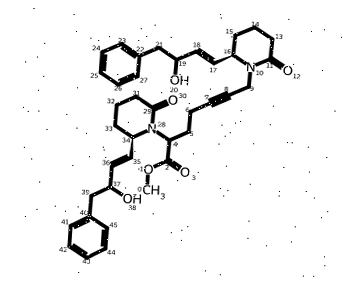 COC(=O)C(CCC#CCN1C(=O)CCC[C@@H]1C=CC(O)Cc1ccccc1)N1C(=O)CCC[C@@H]1C=CC(O)Cc1ccccc1